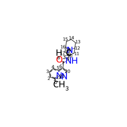 Cc1cccc2c(C(=O)NC3CC4CCCC(C3)N4C)cnn12